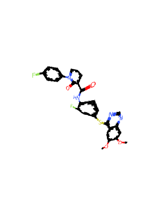 COc1cc2ncnc(Sc3ccc(NC(=O)c4cccn(-c5ccc(F)cc5)c4=O)c(F)c3)c2cc1OC